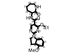 CCOc1nc(N2CCc3c(OC)cccc32)ncc1C(=O)NC1CCCCNC1=O